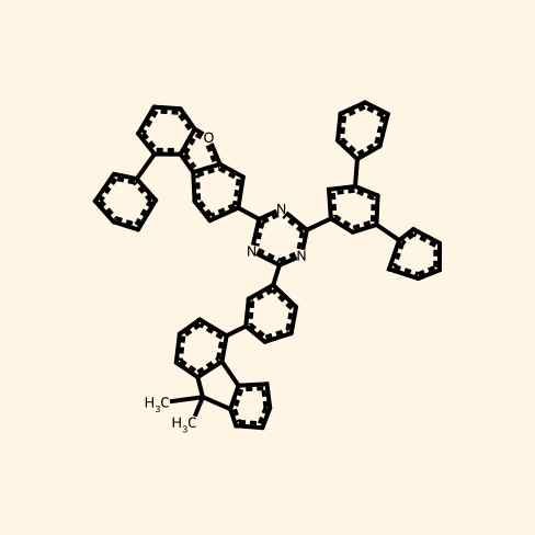 CC1(C)c2ccccc2-c2c(-c3cccc(-c4nc(-c5cc(-c6ccccc6)cc(-c6ccccc6)c5)nc(-c5ccc6c(c5)oc5cccc(-c7ccccc7)c56)n4)c3)cccc21